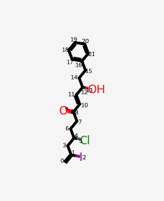 C=C(I)CC(Cl)CCC(=O)C=CC(O)CCc1ccccc1